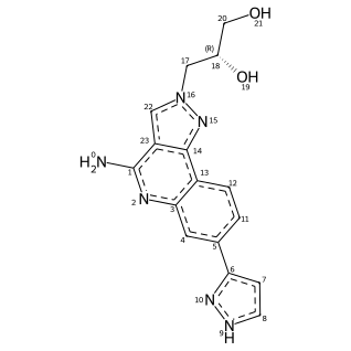 Nc1nc2cc(-c3cc[nH]n3)ccc2c2nn(C[C@@H](O)CO)cc12